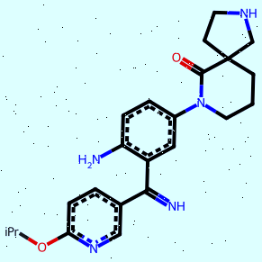 CC(C)Oc1ccc(C(=N)c2cc(N3CCCC4(CCNC4)C3=O)ccc2N)cn1